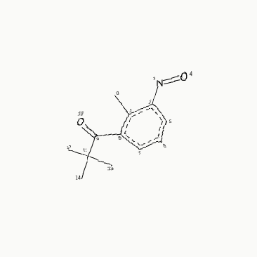 Cc1c(N=O)cccc1C(=O)C(C)(C)C